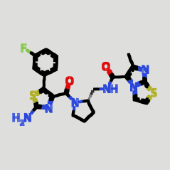 Cc1nc2sccn2c1C(=O)NC[C@@H]1CCCN1C(=O)c1nc(N)sc1-c1cccc(F)c1